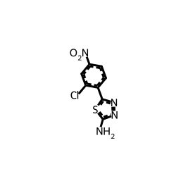 Nc1nnc(-c2ccc([N+](=O)[O-])cc2Cl)s1